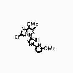 COc1cccc(-c2nnc(NSC(C)C(OC)c3ncc(Cl)cn3)[nH]2)n1